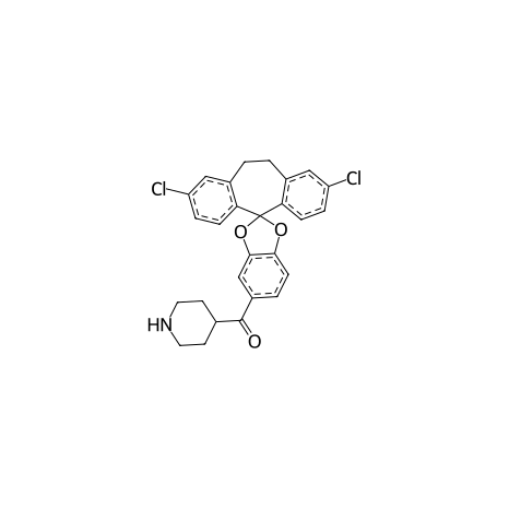 O=C(c1ccc2c(c1)OC1(O2)c2ccc(Cl)cc2CCc2cc(Cl)ccc21)C1CCNCC1